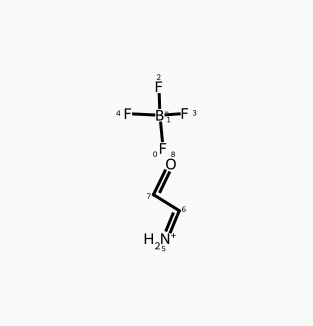 F[B-](F)(F)F.[NH2+]=CC=O